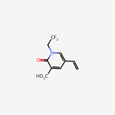 C=Cc1cc(C(=O)O)c(=O)n(CC(F)(F)F)c1